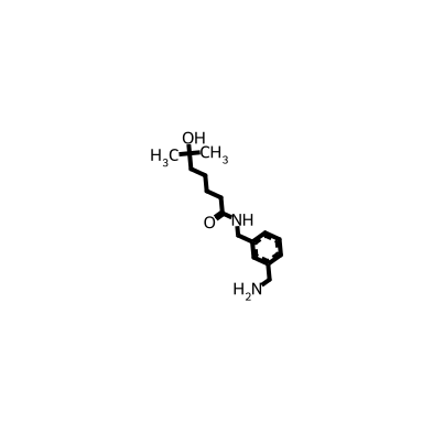 CC(C)(O)CCCCC(=O)NCc1cccc(CN)c1